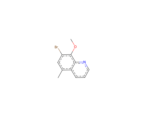 COc1c(Br)cc(C)c2cccnc12